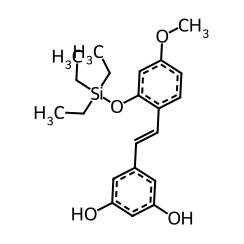 CC[Si](CC)(CC)Oc1cc(OC)ccc1C=Cc1cc(O)cc(O)c1